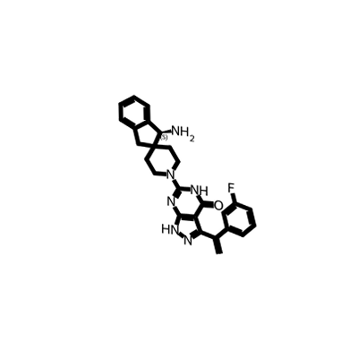 C=C(c1cccc(F)c1)c1n[nH]c2nc(N3CCC4(CC3)Cc3ccccc3[C@H]4N)[nH]c(=O)c12